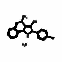 CN1C=c2ccccc2=C2NN(c3ccc(Br)cc3)C(O)=C21.O